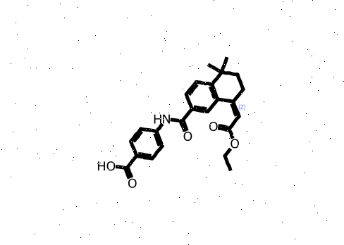 CCOC(=O)/C=C1/CCC(C)(C)c2ccc(C(=O)Nc3ccc(C(=O)O)cc3)cc21